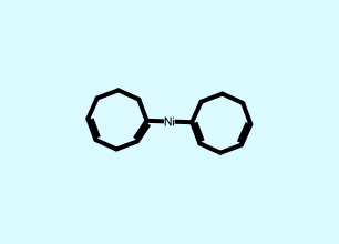 C1=CCCC[C]([Ni][C]2=CCC=CCCC2)=CC1